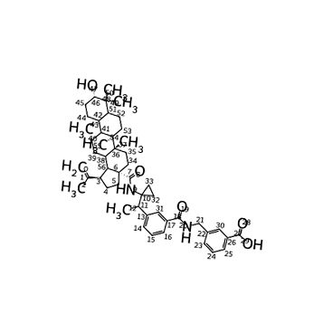 C=C(C)[C@@H]1CC[C@]2(C(=O)NC3(C(C)c4cccc(C(=O)NCc5cccc(C(=O)O)c5)c4)CC3)CC[C@]3(C)C(CCC4[C@@]5(C)CC[C@H](O)C(C)(C)C5CC[C@]43C)C12